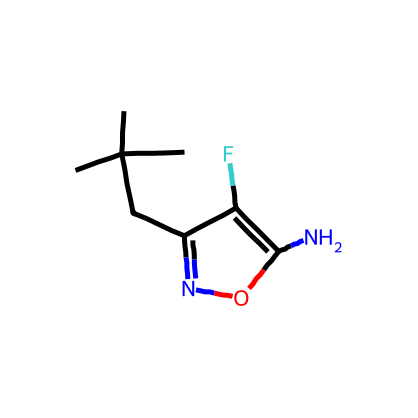 CC(C)(C)Cc1noc(N)c1F